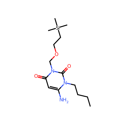 CCCCn1c(N)cc(=O)n(COCC[Si](C)(C)C)c1=O